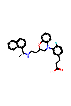 C[C@@H](NCCC1CN(c2cc(CCC(=O)O)ccc2F)c2ccccc2O1)c1cccc2ccccc12